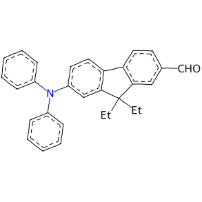 CCC1(CC)c2cc(C=O)ccc2-c2ccc(N(c3ccccc3)c3ccccc3)cc21